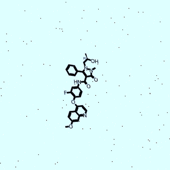 COc1ccc2c(Oc3ccc(NC(=O)c4c(-c5ccccc5)n(C[C@@H](C)O)n(C)c4=O)cc3F)ccnc2c1